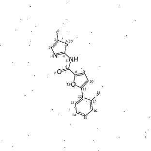 Cc1cnc(NC(=O)c2ccc(-c3ccccc3C)o2)s1